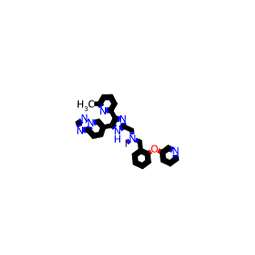 Cc1cccc(-c2nc(CN(I)Cc3ccccc3Oc3cccnc3)[nH]c2-c2ccc3ncnn3c2)n1